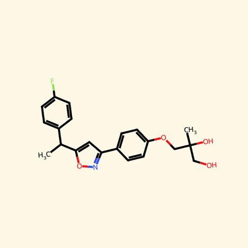 CC(c1ccc(F)cc1)c1cc(-c2ccc(OCC(C)(O)CO)cc2)no1